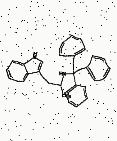 CC(Cc1c[nH]c2ccccc12)NC(c1ccccc1)(c1ccccc1)c1ccccc1